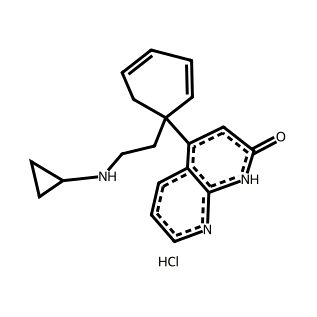 Cl.O=c1cc(C2(CCNC3CC3)C=CC=CC2)c2cccnc2[nH]1